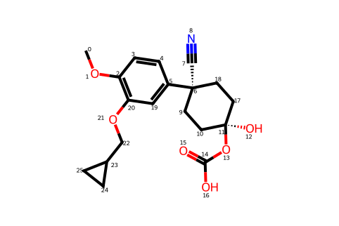 COc1ccc([C@]2(C#N)CC[C@](O)(OC(=O)O)CC2)cc1OCC1CC1